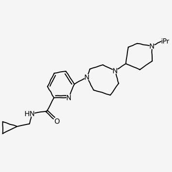 CC(C)N1CCC(N2CCCN(c3cccc(C(=O)NCC4CC4)n3)CC2)CC1